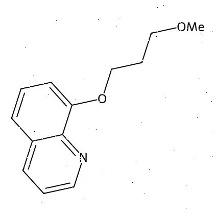 COCCCOc1cccc2cccnc12